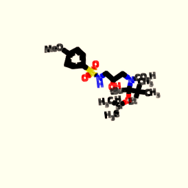 CCC(C)(C)C(O[SiH](C)C)(N(CC(O)CNS(=O)(=O)c1ccc(OC)cc1)C(=O)O)C(C)(C)C